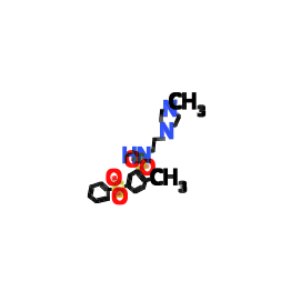 Cc1ccc(S(=O)(=O)c2ccccc2)cc1S(=O)(=O)NCCCN1CCN(C)CC1